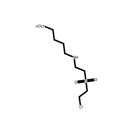 CCCCCCCCCCCCNCCS(=O)(=O)CCCl